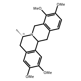 COc1cc2c(cc1OC)C1Cc3ccc(OC)c(OC)c3CN1[C@@H](C)C2